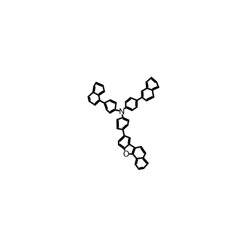 c1ccc2cc(-c3ccc(N(c4ccc(-c5ccc6oc7c8ccccc8ccc7c6c5)cc4)c4ccc(-c5cccc6ccccc56)cc4)cc3)ccc2c1